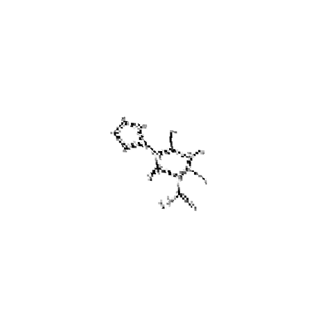 Cc1c(C(N)=O)c(=O)c(-c2ccco2)c(C)n1C